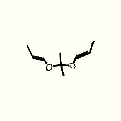 CC=COC(C)(C)OC=CC